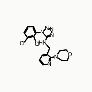 Clc1cccc(-n2nnnc2NCc2cccnc2N2CCOCC2)c1Cl